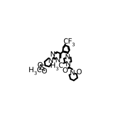 CC1CN(c2ccc(C(F)(F)F)cc2-c2cnc(N3CCC(S(C)(=O)=O)CC3)nc2)CCN1C(=O)CN1CCCCC1=O